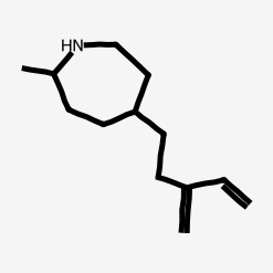 C=CC(=C)CCC1CCNC(C)CC1